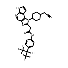 N#CCC1CCC(n2c(CC(=O)Nc3ccc(C(O)(C(F)(F)F)C(F)(F)F)cc3)nc3cnc4[nH]ccc4c32)CC1